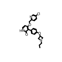 CCCN1CC(Oc2ccc(-c3c(OCc4ccc(Cl)cn4)cc[nH]c3=O)cc2)C1